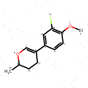 CCOc1ccc(C2=COC(C)CC2)cc1F